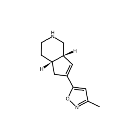 Cc1cc(C2=C[C@H]3CNCC[C@H]3C2)on1